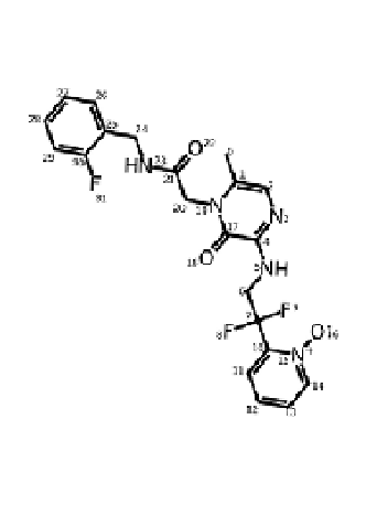 Cc1cnc(NCC(F)(F)c2cccc[n+]2[O-])c(=O)n1CC(=O)NCc1ccccc1F